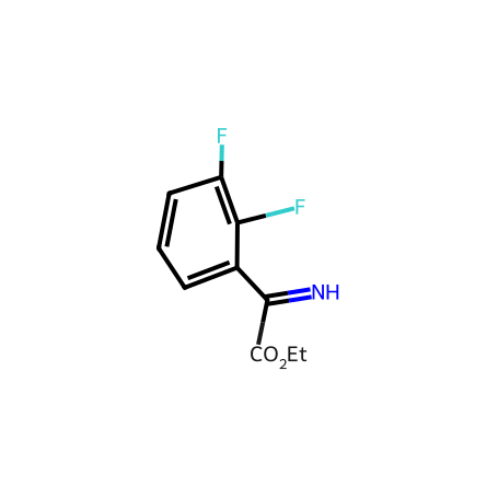 CCOC(=O)C(=N)c1cccc(F)c1F